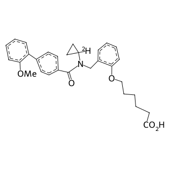 [2H]C1(N(Cc2ccccc2OCCCCCC(=O)O)C(=O)c2ccc(-c3ccccc3OC)cc2)CC1